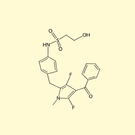 Cn1c(F)c(C(=O)c2ccccc2)c(F)c1Cc1ccc(NS(=O)(=O)CCO)cc1